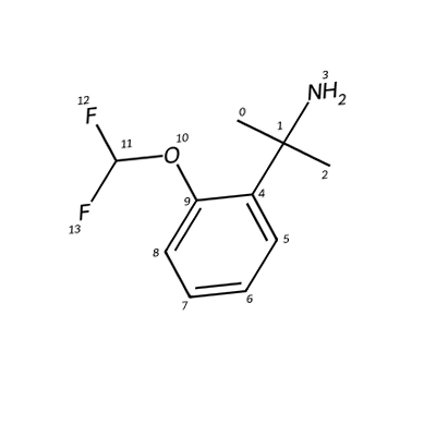 CC(C)(N)c1ccccc1OC(F)F